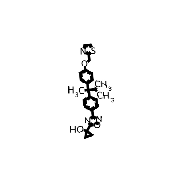 CC(C)C(C)(c1ccc(OCc2nccs2)cc1)c1ccc(-c2noc(C3(O)CC3)n2)cc1